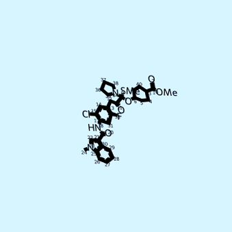 COC(=O)C1CCC(OC(SC)(C(=O)Cc2cc(Cl)c(NC(=O)c3cn(C)c4ccccc34)cc2F)N2CCCC2)CC1